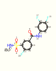 CCC(C)NS(=O)(=O)c1cc(C(=O)Nc2ccc(F)c(F)c2)ccc1F